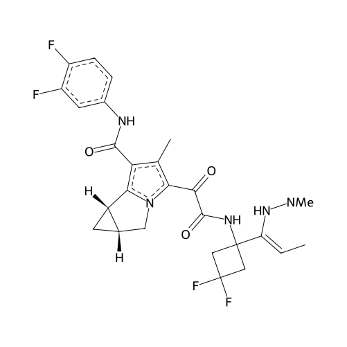 C/C=C(\NNC)C1(NC(=O)C(=O)c2c(C)c(C(=O)Nc3ccc(F)c(F)c3)c3n2C[C@@H]2C[C@H]32)CC(F)(F)C1